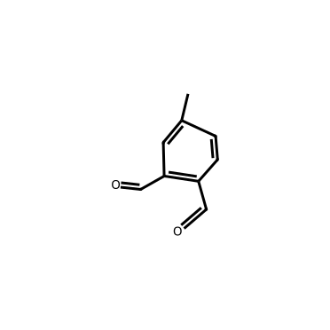 Cc1ccc(C=O)c(C=O)c1